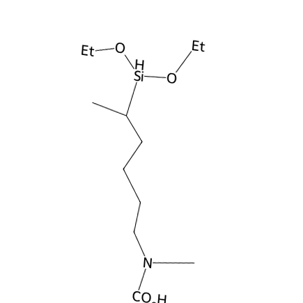 CCO[SiH](OCC)C(C)CCCCN(C)C(=O)O